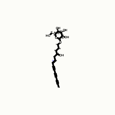 CC#CC#CC#C/C=C/CC(O)CCCOC1O[C@H](CO)[C@@H](O)[C@H](O)[C@H]1O